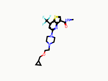 CNC(=O)c1csc2c(C(F)(F)F)cc(N3CCN(CCOCC4CC4)CC3)nc12